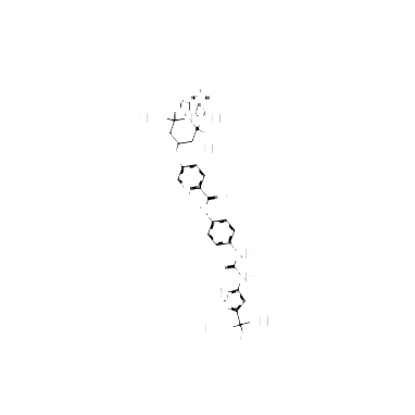 CC(C)(C)c1cc(NC(=O)Nc2ccc(NC(=O)c3ccc(OC4CC(C)(C)[N+](C)(OS(C)(=O)=O)C(C)(C)C4)cn3)cc2)no1